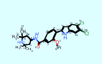 CC(C)Oc1cc(C(=O)NC2CC(C)(C)NC(C)(C)C2)ccc1-c1cc2cc(Cl)c(Cl)cc2[nH]1